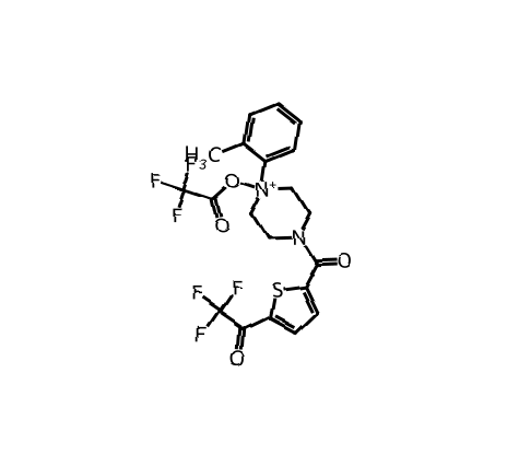 Cc1ccccc1[N+]1(OC(=O)C(F)(F)F)CCN(C(=O)c2ccc(C(=O)C(F)(F)F)s2)CC1